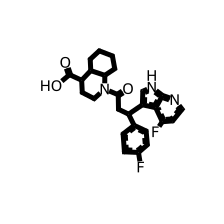 O=C(O)C1CCN(C(=O)CC(c2ccc(F)cc2)c2c[nH]c3nccc(F)c23)C2CCCCC12